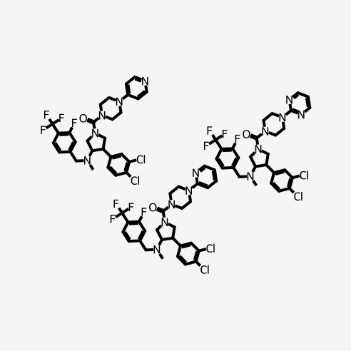 CN(Cc1ccc(C(F)(F)F)c(F)c1)C1CN(C(=O)N2CCN(c3ccccn3)CC2)CC1c1ccc(Cl)c(Cl)c1.CN(Cc1ccc(C(F)(F)F)c(F)c1)C1CN(C(=O)N2CCN(c3ccncc3)CC2)CC1c1ccc(Cl)c(Cl)c1.CN(Cc1ccc(C(F)(F)F)c(F)c1)C1CN(C(=O)N2CCN(c3ncccn3)CC2)CC1c1ccc(Cl)c(Cl)c1